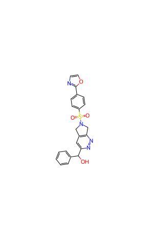 O=S(=O)(c1ccc(-c2ncco2)cc1)N1Cc2cc(C(O)c3ccccc3)nnc2C1